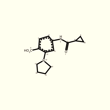 O=C(O)c1ccc(NC(=O)C2CC2)cc1N1CCCC1